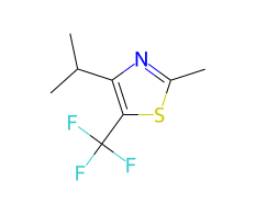 Cc1nc(C(C)C)c(C(F)(F)F)s1